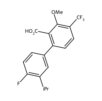 COc1c(C(F)(F)F)ccc(-c2ccc(F)c(C(C)C)c2)c1C(=O)O